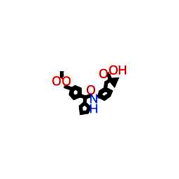 CC(=O)OCc1ccc(C(C(=O)Nc2cccc(CC3(C(=O)O)CC3)c2)C2CCCC2)cc1